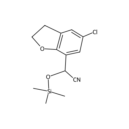 C[Si](C)(C)OC(C#N)c1cc(Cl)cc2c1OCC2